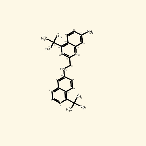 CC(C)(C)c1ncnc2cc(NCc3nc(C(C)(C)C)c4ccc(N)cc4n3)ccc12